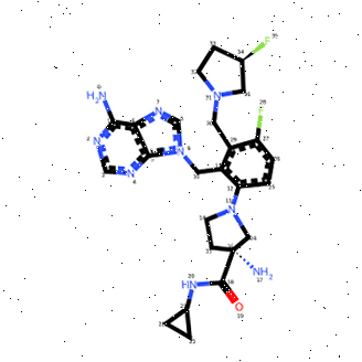 Nc1ncnc2c1ncn2Cc1c(N2CC[C@](N)(C(=O)NC3CC3)C2)ccc(F)c1CN1CC[C@@H](F)C1